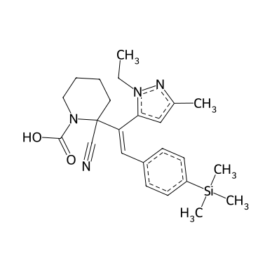 CCn1nc(C)cc1C(=Cc1ccc([Si](C)(C)C)cc1)C1(C#N)CCCCN1C(=O)O